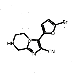 N#Cc1nc2n(c1-c1ccc(Br)o1)CCNC2